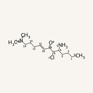 CCCCC(N)[C](Cl)C(=O)C=CCCCN(C)C